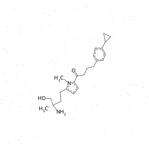 Cn1c(CC[C@@](C)(N)CO)ccc1C(=O)CCCc1ccc(C2CC2)cc1